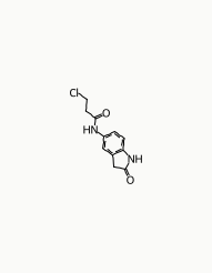 O=C(CCCl)Nc1ccc2c(c1)CC(=O)N2